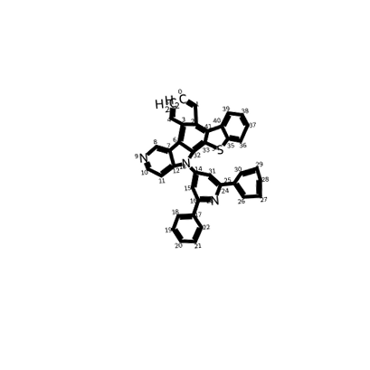 C=Cc1c(C=C)c2c3cnccc3n(-c3cc(-c4ccccc4)nc(-c4ccccc4)c3)c2c2sc3ccccc3c12